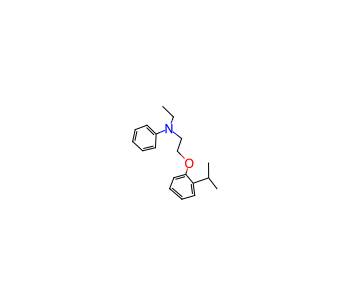 CCN(CCOc1ccccc1C(C)C)c1ccccc1